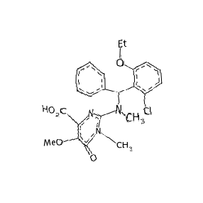 CCOc1cccc(Cl)c1C(c1ccccc1)N(C)c1nc(C(=O)O)c(OC)c(=O)n1C